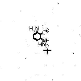 CC(C)(C)ONNC1C=CC=C(N)C1=C=O